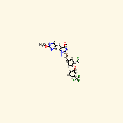 COc1ncc(Cc2c[nH]c(SCc3ccc(Oc4cccc(C(F)(F)F)c4)c(CF)c3)nc2=O)cn1